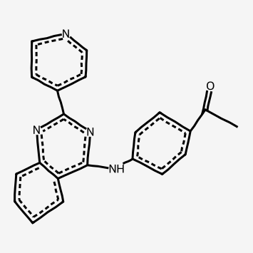 CC(=O)c1ccc(Nc2nc(-c3ccncc3)nc3ccccc23)cc1